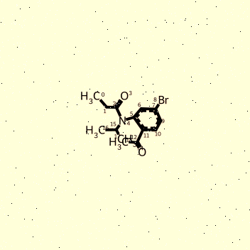 CCC(=O)N(c1cc(Br)ccc1C(C)=O)C(C)C